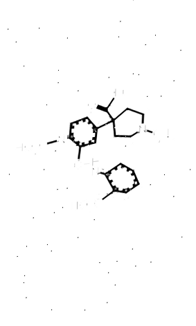 CCC(=O)C1(c2cccc(O)c2)CCN(C)CC1.NC(=O)O.Nc1ccccc1C(=O)O